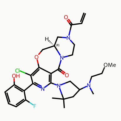 C=CC(=O)N1CCN2C(=O)c3c(N4CC(N(C)CCOC)CC4(C)C)nc(-c4c(O)cccc4F)c(Cl)c3OC[C@H]2C1